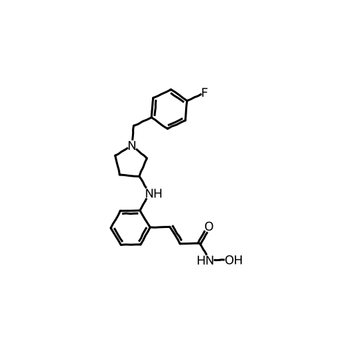 O=C(/C=C/c1ccccc1NC1CCN(Cc2ccc(F)cc2)C1)NO